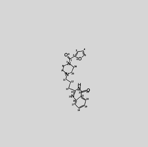 O=C(c1ccco1)N1CCN(CCCc2nc3ccccc3c(=O)[nH]2)CC1